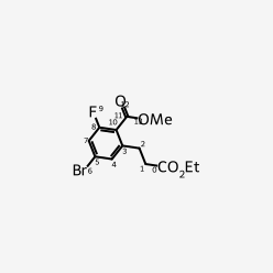 CCOC(=O)CCc1cc(Br)cc(F)c1C(=O)OC